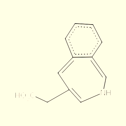 O=C(O)CC1=CNC=c2ccccc2=C1